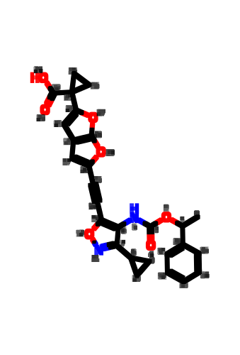 CC(OC(=O)Nc1c(C2CC2)noc1C#Cc1cc2cc(C3(C(=O)O)CC3)oc2o1)c1ccccc1